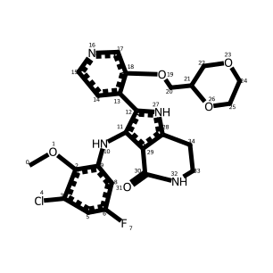 COc1c(Cl)cc(F)cc1Nc1c(-c2ccncc2OCC2COCCO2)[nH]c2c1C(=O)NCC2